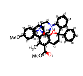 COC(=O)c1c2c(c3ccccc3c1C)OC(c1ccccc1)(c1ccccc1N1CCN(c3ccc(OC)cc3)CC1)C=C2